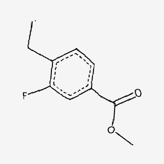 [CH2]Cc1ccc(C(=O)OC)cc1F